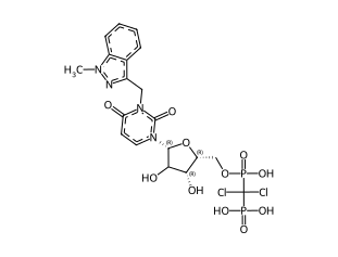 Cn1nc(Cn2c(=O)ccn([C@@H]3O[C@H](COP(=O)(O)C(Cl)(Cl)P(=O)(O)O)[C@H](O)C3O)c2=O)c2ccccc21